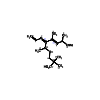 C=C/N=C(/C(N)=N/C(C)OC)N(C)OCC(C)(C)C(=O)O